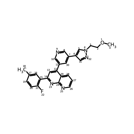 COCCn1cc(-c2cncc(-c3cc(-c4cc(C)ccc4F)nc4ncccc34)c2)cn1